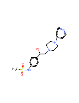 CS(=O)(=O)Nc1ccc(C(O)CN2CCN(c3ccncc3)CC2)cc1